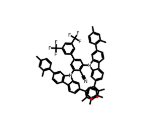 Cc1ccc(-c2ccc3c4ccc(-c5ccc(C)cc5C)cc4n(-c4cc(-c5cc(C(F)(F)F)cc(C(F)(F)F)c5)cc(-n5c6cc(-c7ccc(C)cc7C)ccc6c6ccc(-c7ccc(C)cc7C)cc65)c4C#N)c3c2)c(C)c1